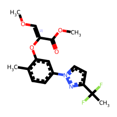 CO/C=C(\Oc1cc(-n2ccc(C(C)(F)F)n2)ccc1C)C(=O)OC